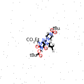 CCOC(=O)Cn1c(=O)n(COC(=O)C(C)(C)C)c(=O)c2c1nc(N1CCN(C(=O)OC(C)(C)C)CC1)n2CC=C(C)C